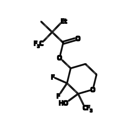 CCC(C)(C(=O)OC1CCOC(O)(C(F)(F)F)C1(F)F)C(F)(F)F